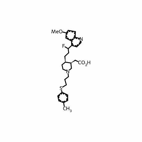 COc1ccc2nccc(C(F)CC[C@@H]3CCN(CCCSc4ccc(C)cc4)C[C@@H]3CC(=O)O)c2c1